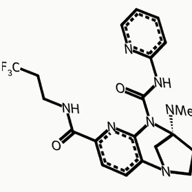 CN[C@]12CCN(C1)c1ccc(C(=O)NCCC(F)(F)F)nc1N2C(=O)Nc1ccccn1